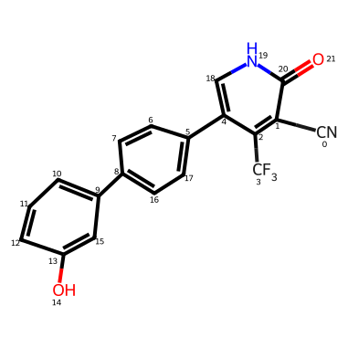 N#Cc1c(C(F)(F)F)c(-c2ccc(-c3cccc(O)c3)cc2)c[nH]c1=O